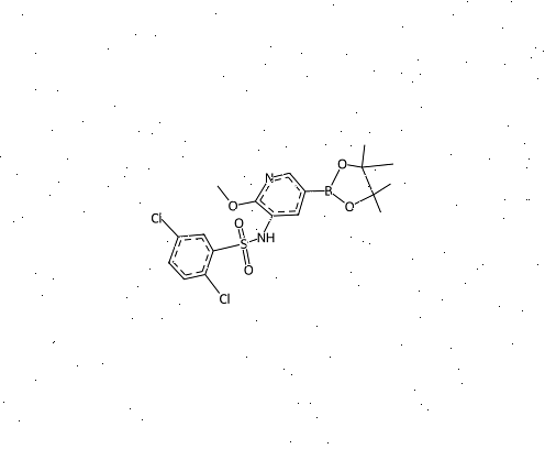 COc1ncc(B2OC(C)(C)C(C)(C)O2)cc1NS(=O)(=O)c1cc(Cl)ccc1Cl